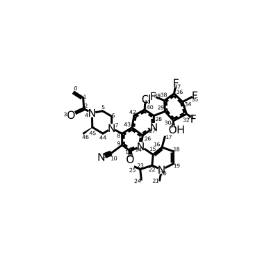 C=CC(=O)N1CCN(c2c(C#N)c(=O)n(C3=C(C)C=CN(C)C3C(C)C)c3nc(-c4c(O)c(F)c(F)c(F)c4F)c(Cl)cc23)C[C@H]1C